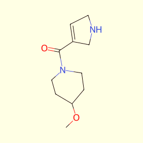 COC1CCN(C(=O)C2=CCNC2)CC1